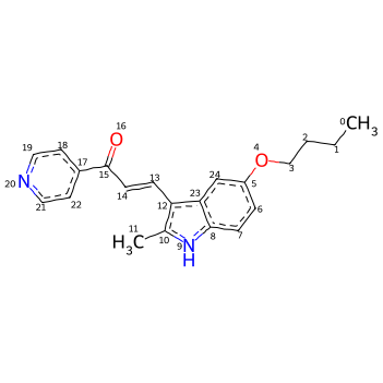 CCCCOc1ccc2[nH]c(C)c(C=CC(=O)c3ccncc3)c2c1